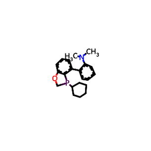 CN(C)c1ccccc1-c1cccc2c1P(C1CCCCC1)CO2